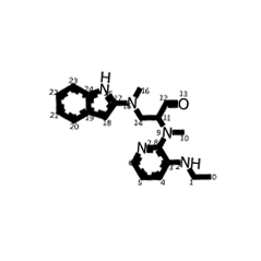 CCNc1cccnc1N(C)C(C=O)CN(C)c1cc2ccccc2[nH]1